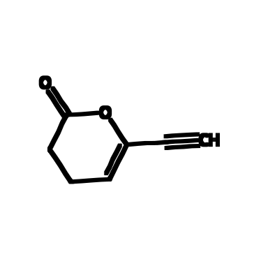 C#CC1=CCCC(=O)O1